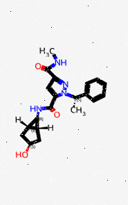 CNC(=O)c1cc(C(=O)N[C@H]2[C@@H]3C[C@@H](O)C[C@@H]32)n([C@@H](C)c2ccccc2)n1